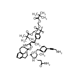 C/C(=C\C(=O)N[C@H]1CCc2cccc3c2N(C1=O)[C@H](C(=O)N[C@@H](CCC(N)=O)[C@@H](C)OCc1ccc(C#CCN)cc1)C3)c1ccc(C(F)(F)P(=O)(OCOC(=O)C(C)(C)C)OCOC(=O)C(C)(C)C)cc1